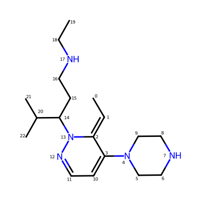 C/C=C1/C(N2CCNCC2)=CC=NN1C(CCNCC)C(C)C